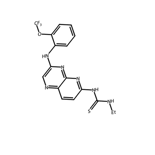 CCNC(=S)Nc1ccc2ncc(Nc3ccccc3OC(F)(F)F)nc2n1